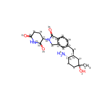 CC1(O)CC[C@H](N)[C@@H](Cc2ccc3c(c2)CN(C2CCC(=O)NC2=O)C3=O)C1